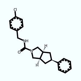 O=C(NCc1ccc(Cl)cc1)N1C[C@H]2C[C@@H](c3ccccc3)C[C@H]2C1